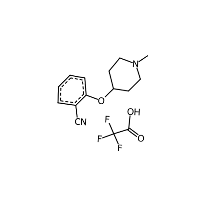 CN1CCC(Oc2ccccc2C#N)CC1.O=C(O)C(F)(F)F